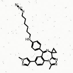 Cc1nnc2n1-c1ccc(-c3cnn(C)c3)cc1C(c1ccc(NCCCCCCN=[N+]=[N-])cc1)=NC21CC1